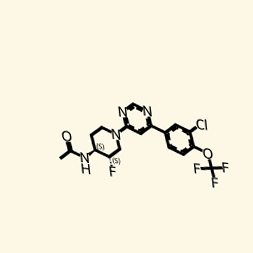 CC(=O)N[C@H]1CCN(c2cc(-c3ccc(OC(F)(F)F)c(Cl)c3)ncn2)C[C@@H]1F